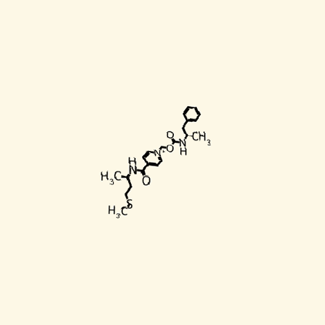 CSCC[C@@H](C)NC(=O)c1cc[n+](COC(=O)N[C@@H](C)Cc2ccccc2)cc1